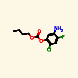 CCCCOC(=O)Oc1cc(N)c(F)cc1Cl